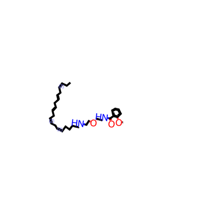 CC/C=C\CC=CCC=CC/C=C\C/C=C\CCCCNCCOCCNC(=O)c1ccccc1OC